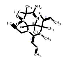 C#CCO/C(=C/N=C)N(C)C(C)(/C(F)=C\C)[C@@]1(C)N=C(N)C(C)(C)S(=O)(=O)C1(F)F